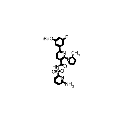 CC(C)COc1cc(F)cc(-c2ccc(C(=O)NS(=O)(=O)c3cccc(N)n3)c(N3CCCC3C)n2)c1